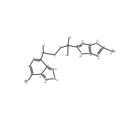 CC(C)c1ccc(C(C)CCC(C)(C)c2nc3sc(C(C)(C)C)nc3s2)c2nsnc12